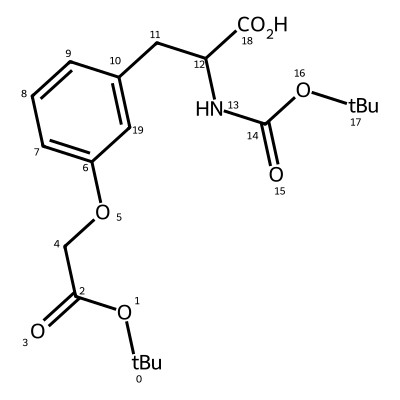 CC(C)(C)OC(=O)COc1cccc(CC(NC(=O)OC(C)(C)C)C(=O)O)c1